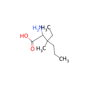 CCCC(C)(CC)C(N)C(=O)O